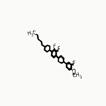 CCCCCC1CCC(c2ccc(C3CCC(c4ccc(OC)c(F)c4)CC3)c(F)c2F)CC1